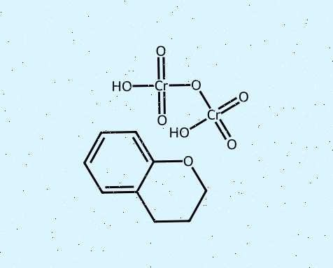 [O]=[Cr](=[O])([OH])[O][Cr](=[O])(=[O])[OH].c1ccc2c(c1)CCCO2